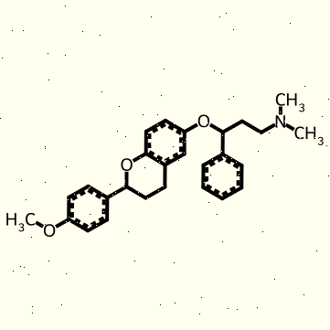 COc1ccc(C2CCc3cc(OC(CCN(C)C)c4ccccc4)ccc3O2)cc1